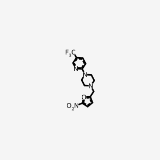 O=[N+]([O-])c1ccc(CN2CCN(c3ccc(C(F)(F)F)cn3)CC2)o1